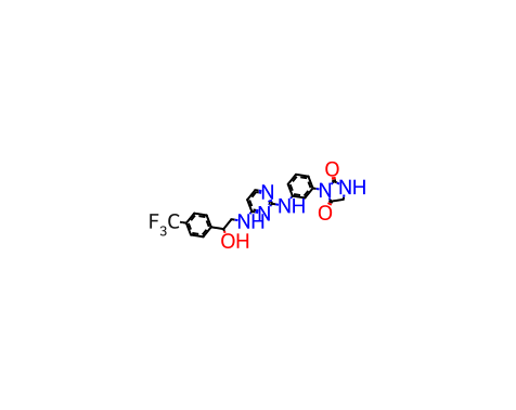 O=C1CNC(=O)N1c1cccc(Nc2nccc(NCC(O)c3ccc(C(F)(F)F)cc3)n2)c1